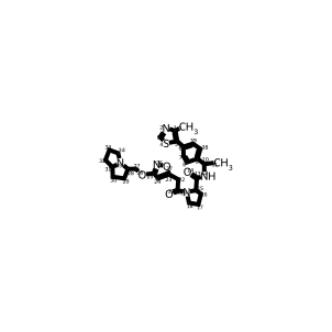 Cc1ncsc1-c1ccc(C(C)NC(=O)C2CCCN2C(=O)Cc2cc(OCC3CCC4CCCN43)no2)cc1